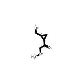 COCC(=O)C1CC1CO